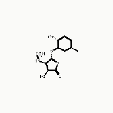 CC(C)[C@@H]1CC[C@@H](C)CC1O[C@@H]1OC(=O)[C@@H](O)[C@H]1NC(=O)O